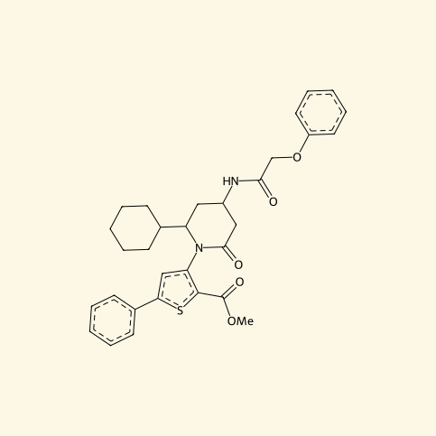 COC(=O)c1sc(-c2ccccc2)cc1N1C(=O)CC(NC(=O)COc2ccccc2)CC1C1CCCCC1